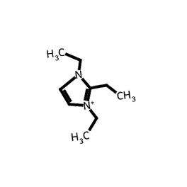 CCc1n(CC)cc[n+]1CC